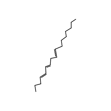 CCCC=CC=CCC=CCCCCCCC